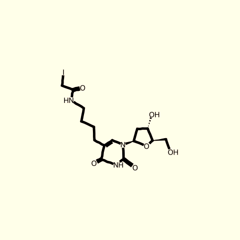 O=C(CI)NCCCCc1cn([C@H]2C[C@H](O)[C@@H](CO)O2)c(=O)[nH]c1=O